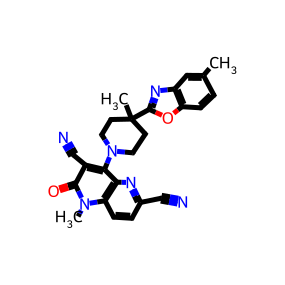 Cc1ccc2oc(C3(C)CCN(c4c(C#N)c(=O)n(C)c5ccc(C#N)nc45)CC3)nc2c1